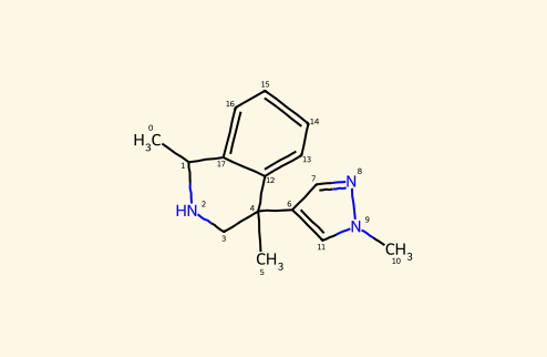 CC1NCC(C)(c2cnn(C)c2)c2ccccc21